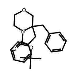 CC(C)(C)OC(=O)N1CCOCC1(Cc1ccccc1)Cc1ccccc1